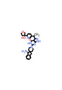 C=C(c1ccc([C@@]2(O)CCOC2)nc1)c1n[nH]c2nc(N3CCC4(CC3)Cc3ccccc3[C@H]4N)[nH]c(=O)c12